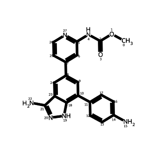 COC(=O)Nc1cc(-c2cc(-c3ccc(N)cc3)c3[nH]nc(N)c3c2)ccn1